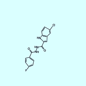 O=C(NNC(=O)c1cc2cc(Cl)ccc2[nH]1)c1ccc(F)cc1